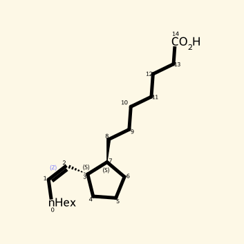 CCCCCC/C=C\[C@H]1CCC[C@@H]1CCCCCCC(=O)O